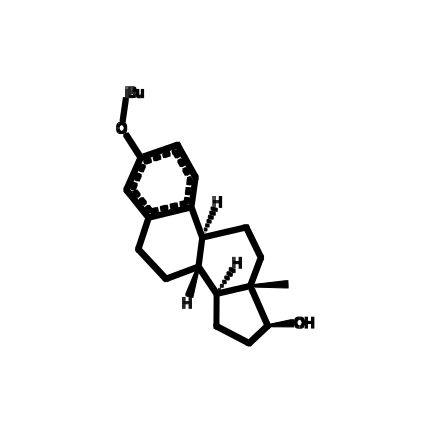 CCC(C)Oc1ccc2c(c1)CC[C@@H]1[C@@H]2CC[C@]2(C)[C@@H](O)CC[C@@H]12